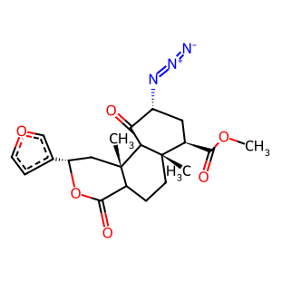 COC(=O)[C@@H]1C[C@@H](N=[N+]=[N-])C(=O)C2[C@@]3(C)C[C@@H](c4ccoc4)OC(=O)C3CC[C@]21C